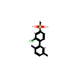 Cc1c[c]c(C)c(-c2ccc(S(C)(=O)=O)cc2Cl)c1